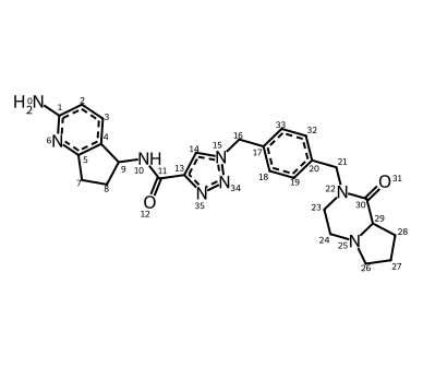 Nc1ccc2c(n1)CCC2NC(=O)c1cn(Cc2ccc(CN3CCN4CCCC4C3=O)cc2)nn1